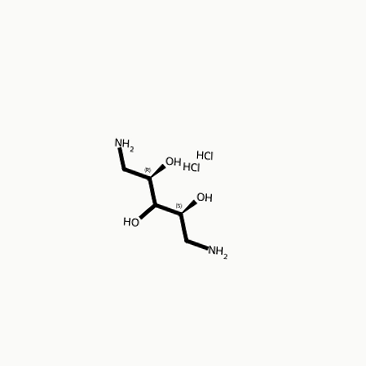 Cl.Cl.NC[C@@H](O)C(O)[C@@H](O)CN